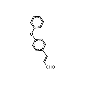 O=CC=Cc1ccc(Oc2ccccc2)cc1